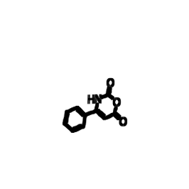 O=c1cc(-c2ccccc2)[nH]c(=O)o1